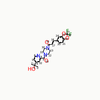 CC(C)(O)c1ccnc(C(=O)N2CCN(C(=O)/C=C/c3ccc4c(c3)OC(F)(F)O4)CC2)c1